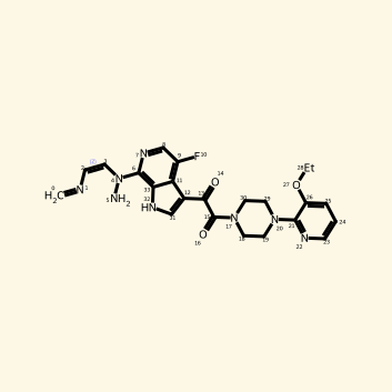 C=N/C=C\N(N)c1ncc(F)c2c(C(=O)C(=O)N3CCN(c4ncccc4OCC)CC3)c[nH]c12